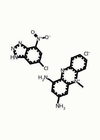 C[n+]1c2ccccc2nc2c(N)cc(N)cc21.O=[N+]([O-])c1cc(Cl)cc2[nH]nnc12.[Cl-]